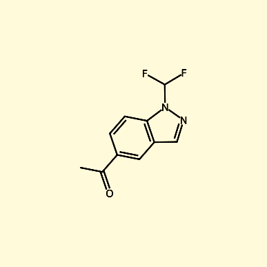 CC(=O)c1ccc2c(cnn2C(F)F)c1